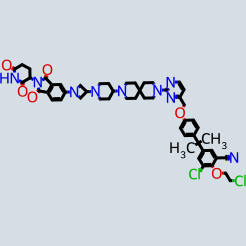 CC(C)(c1ccc(OCc2ccnc(N3CCC4(CC3)CCN(C3CCN(C5CN(c6ccc7c(c6)C(=O)N(C6CCC(=O)NC6=O)C7=O)C5)CC3)CC4)n2)cc1)c1cc(Cl)c(OCCCl)c(C#N)c1